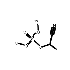 CC(C#N)OP(=O)(OCl)OCl